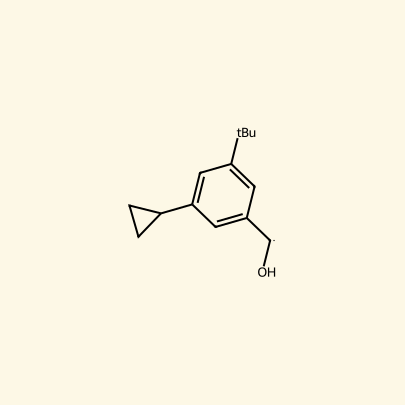 CC(C)(C)c1cc([CH]O)cc(C2CC2)c1